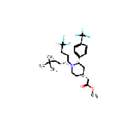 COC(=O)C[C@@H]1CCN([C@H](CCC(C)(C)C)CCC(F)(F)F)[C@H](c2ccc(C(F)(F)F)cc2)C1